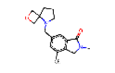 CN1Cc2c(cc(CN3CCCC34COC4)cc2C(F)(F)F)C1=O